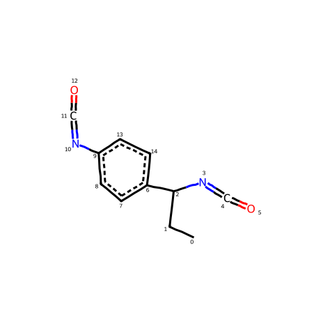 CCC(N=C=O)c1ccc(N=C=O)cc1